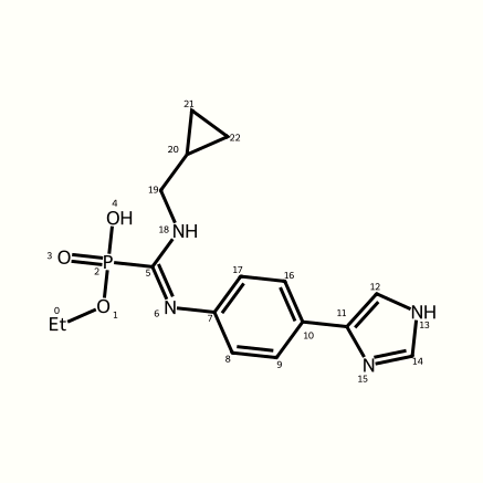 CCOP(=O)(O)/C(=N/c1ccc(-c2c[nH]cn2)cc1)NCC1CC1